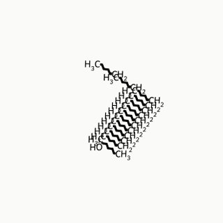 C=CCCCC.C=CCCCC.C=CCCCC.C=CCCCC.C=CCCCC.C=CCCCC.C=CCCCC.C=CCCCC.C=CCCCC.C=CCCCC.C=CCCCC.C=CCCCC.CCCCCC(C)O